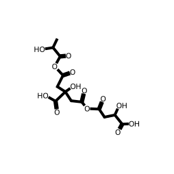 CC(O)C(=O)OC(=O)CC(O)(CC(=O)OC(=O)CC(O)C(=O)O)C(=O)O